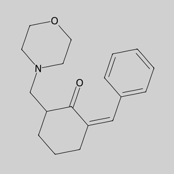 O=C1/C(=C\c2ccccc2)CCCC1CN1CCOCC1